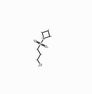 O=S(=O)(CCCCl)N1CCC1